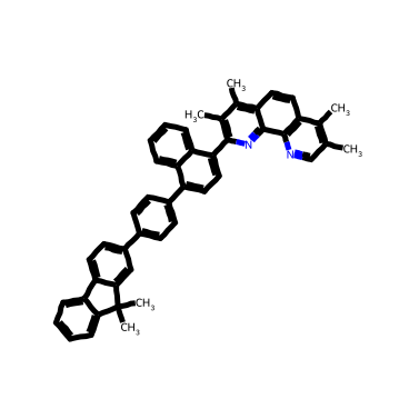 Cc1cnc2c(ccc3c(C)c(C)c(-c4ccc(-c5ccc(-c6ccc7c(c6)C(C)(C)c6ccccc6-7)cc5)c5ccccc45)nc32)c1C